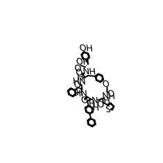 O=C1COc2ccc(cc2)C[C@@H](C(=O)N[C@@H](Cc2ccc(O)cc2)C(=O)O)NC(=O)[C@H](Cc2ccccc2)NC(=O)[C@H](Cc2ccc(-c3ccccc3)cc2)NC(=O)[C@H](Cc2cccs2)N1